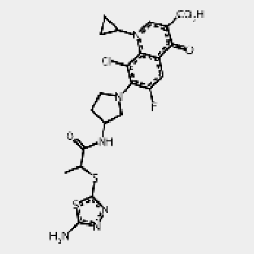 CC(Sc1nnc(N)s1)C(=O)NC1CCN(c2c(F)cc3c(=O)c(C(=O)O)cn(C4CC4)c3c2Cl)C1